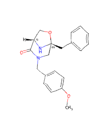 COc1ccc(CN2C[C@]3(Cc4ccccc4)N[C@@H](CO3)C2=O)cc1